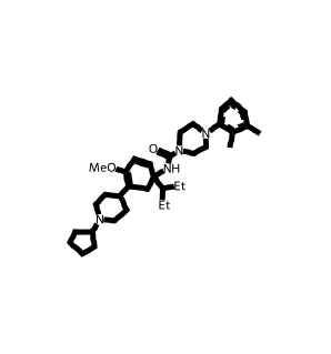 CCC(CC)C1(NC(=O)N2CCN(c3cccc(C)c3C)CC2)C=CC(OC)=C(C2CCN(C3CCCC3)CC2)C1